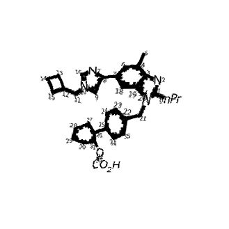 CCCc1nc2c(C)cc(-c3cn(CC4CCC4)cn3)cc2n1Cc1ccc(-c2ccccc2OC(=O)O)cc1